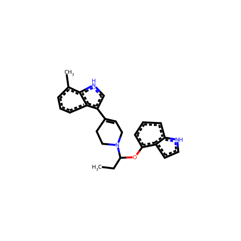 CCC(Oc1cccc2[nH]ccc12)N1CC=C(c2c[nH]c3c(C)cccc23)CC1